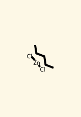 CCCCC.[Cl][Zn][Cl]